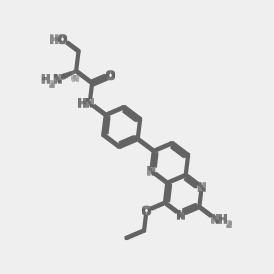 CCOc1nc(N)nc2ccc(-c3ccc(NC(=O)[C@@H](N)CO)cc3)nc12